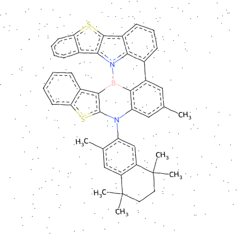 Cc1cc2c3c(c1)N(c1cc4c(cc1C)C(C)(C)CCC4(C)C)c1sc4ccccc4c1B3n1c3c-2cccc3c2sc3ccccc3c21